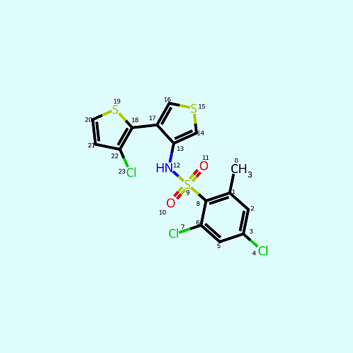 Cc1cc(Cl)cc(Cl)c1S(=O)(=O)Nc1cscc1-c1sccc1Cl